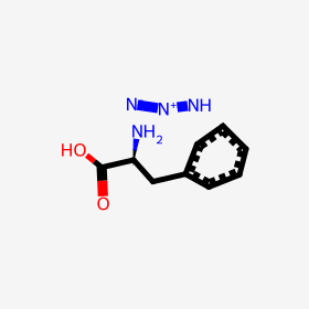 N[C@@H](Cc1ccccc1)C(=O)O.[N-]=[N+]=N